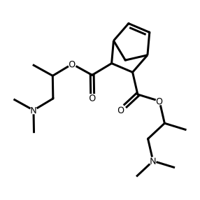 CC(CN(C)C)OC(=O)C1C2C=CC(C2)C1C(=O)OC(C)CN(C)C